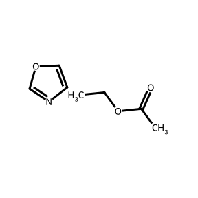 CCOC(C)=O.c1cocn1